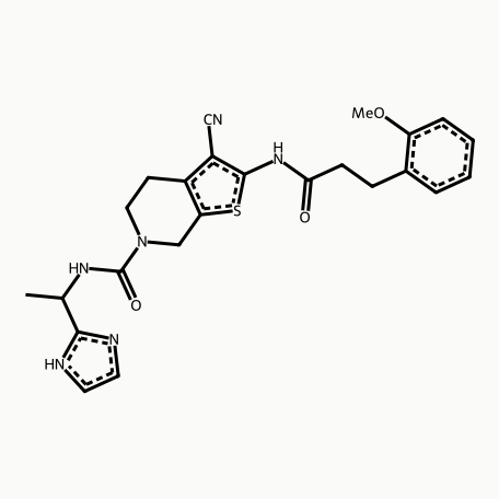 COc1ccccc1CCC(=O)Nc1sc2c(c1C#N)CCN(C(=O)NC(C)c1ncc[nH]1)C2